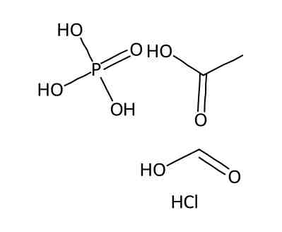 CC(=O)O.Cl.O=CO.O=P(O)(O)O